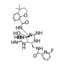 CC1(C)CCOc2c(C(=O)NC3CN4C(=N)N[C@@H](CNC(=O)c5cccc(F)n5)C5NC(=N)NC54C3(O)O)cccc21